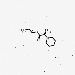 C=C(C(=O)OCCC)N1CCCCC1